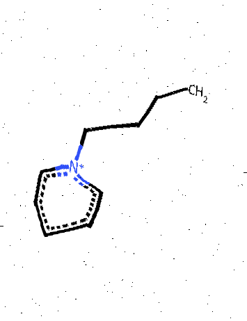 [CH2]CCC[n+]1ccccc1